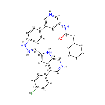 O=C(CC1CCCCC1)Nc1cncc(-c2ccc3[nH]nc(-c4cc5c(-c6ccc(F)cc6)cncc5[nH]4)c3c2)c1